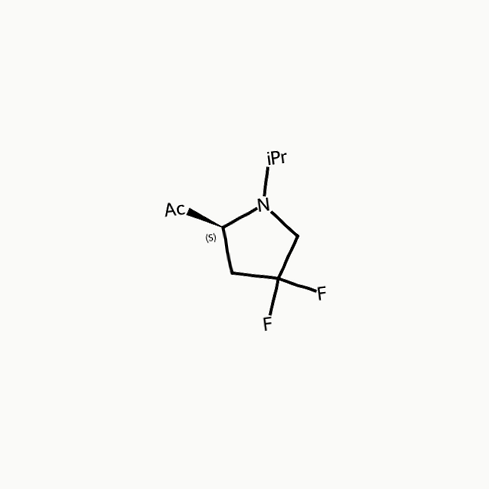 CC(=O)[C@@H]1CC(F)(F)CN1C(C)C